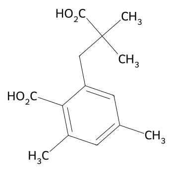 Cc1cc(C)c(C(=O)O)c(CC(C)(C)C(=O)O)c1